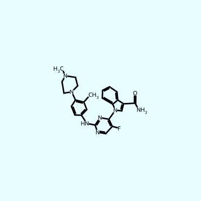 Cc1cc(Nc2ncc(F)c(-n3cc(C(N)=O)c4ccccc43)n2)ccc1N1CCN(C)CC1